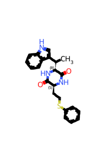 CC(c1c[nH]c2ccccc12)[C@H]1NC(=O)[C@H](CCSc2ccccc2)NC1=O